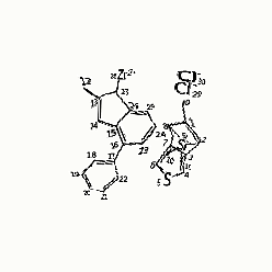 CC1=C2c3cscc3C1[Si]2(C)C.CC1=Cc2c(-c3ccccc3)cccc2[CH]1[Zr+2].[Cl-].[Cl-]